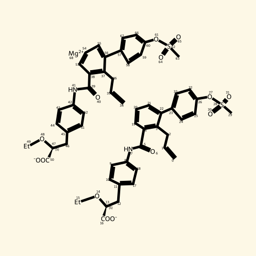 C=CCc1c(C(=O)Nc2ccc(C[C@H](OCC)C(=O)[O-])cc2)cccc1-c1ccc(OS(C)(=O)=O)cc1.C=CCc1c(C(=O)Nc2ccc(C[C@H](OCC)C(=O)[O-])cc2)cccc1-c1ccc(OS(C)(=O)=O)cc1.[Mg+2]